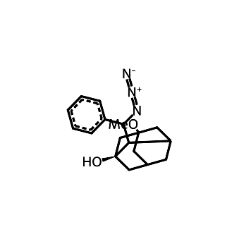 COC12CC3CC(C1)C(C(N=[N+]=[N-])c1ccccc1)[C@](O)(C3)C2